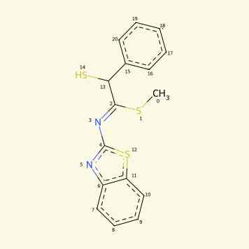 CSC(=Nc1nc2ccccc2s1)C(S)c1cc[c]cc1